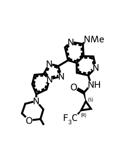 CNc1ncc(-c2nc3ccc(N4CCOC(C)C4)cn3n2)c2cc(NC(=O)[C@H]3C[C@H]3C(F)(F)F)ncc12